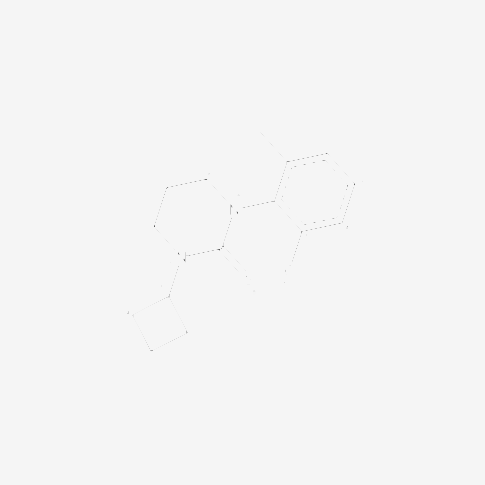 Cc1cccc(Cl)c1N1CCCN(C2CCC2)C1=S